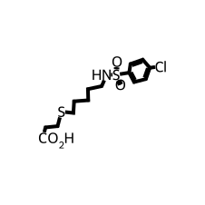 O=C(O)CCSCCCCCNS(=O)(=O)c1ccc(Cl)cc1